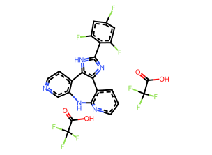 Fc1cc(F)c(-c2nc3c([nH]2)-c2ccncc2Nc2ncccc2-3)c(F)c1.O=C(O)C(F)(F)F.O=C(O)C(F)(F)F